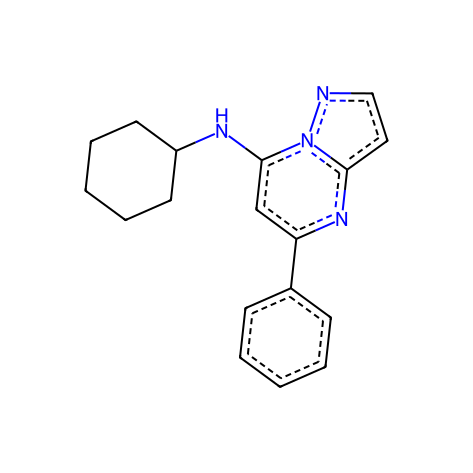 c1ccc(-c2cc(NC3CCCCC3)n3nccc3n2)cc1